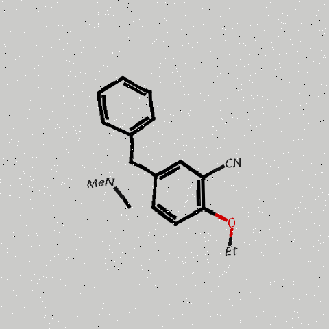 CCOc1ccc(Cc2ccccc2)cc1C#N.CNC